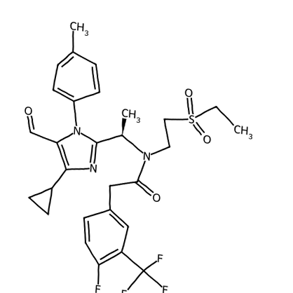 CCS(=O)(=O)CCN(C(=O)Cc1ccc(F)c(C(F)(F)F)c1)[C@H](C)c1nc(C2CC2)c(C=O)n1-c1ccc(C)cc1